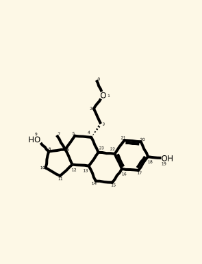 COCC[C@H]1CC2(C)C(O)CCC2C2CCc3cc(O)ccc3C21